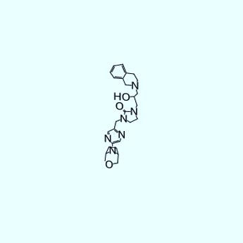 O=C1N(Cc2cnc(N3C4CCC3COC4)cn2)CCN1CC(O)CN1CCc2ccccc2C1